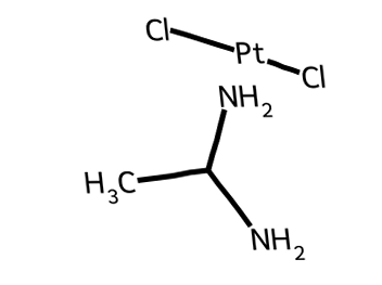 CC(N)N.[Cl][Pt][Cl]